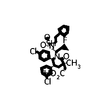 C[C@]1(CC(=O)O)C[C@H](c2cccc(Cl)c2)[C@@H](c2ccc(Cl)cc2)N([C@H](CN(CCc2ccccc2F)[SH](=O)=O)C2CC2)C1=O